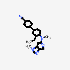 CCc1cc(-c2ccc(C#N)cc2)ccc1N(C)c1cc2c(cn1)ncn2C